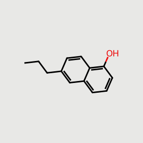 CCCc1ccc2c(O)cccc2c1